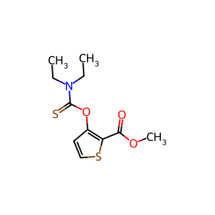 CCN(CC)C(=S)Oc1ccsc1C(=O)OC